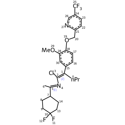 CCC/C(=C(Cl)\N=C(/C)C1CCC(F)(F)CC1)c1ccc(OCc2ccc(C(F)(F)F)cn2)c(OC)c1